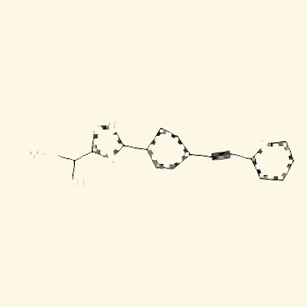 COC(C)c1nc(-c2ccc(C#Cc3ccccn3)cc2)no1